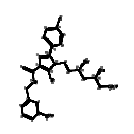 COc1cccc(CNC(=O)c2nc(-c3ccc(Cl)cc3)n(CC[C@@H](O)C[C@@H](O)CC(=O)O)c2C(C)C)c1